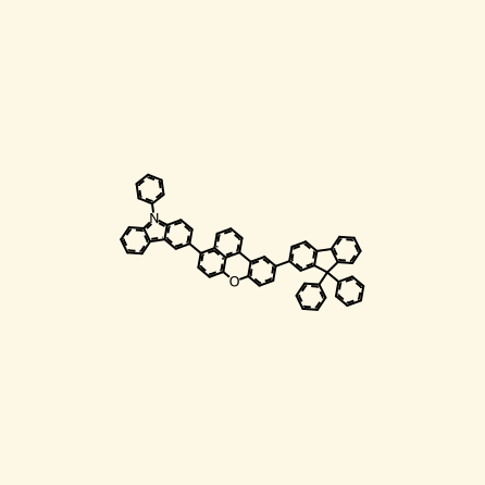 c1ccc(-n2c3ccccc3c3cc(-c4ccc5c6c(cccc46)-c4cc(-c6ccc7c(c6)C(c6ccccc6)(c6ccccc6)c6ccccc6-7)ccc4O5)ccc32)cc1